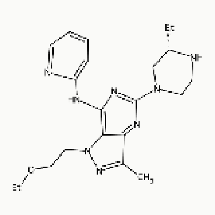 CCOCCn1nc(C)c2nc(N3CCN[C@@H](CC)C3)nc(Nc3ccccn3)c21